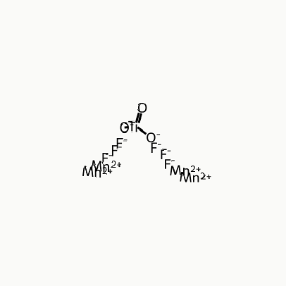 [F-].[F-].[F-].[F-].[F-].[F-].[Mn+2].[Mn+2].[Mn+2].[Mn+2].[O]=[Ti]([O-])[O-]